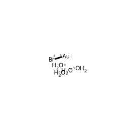 O.O.O.O.[Br][Au]